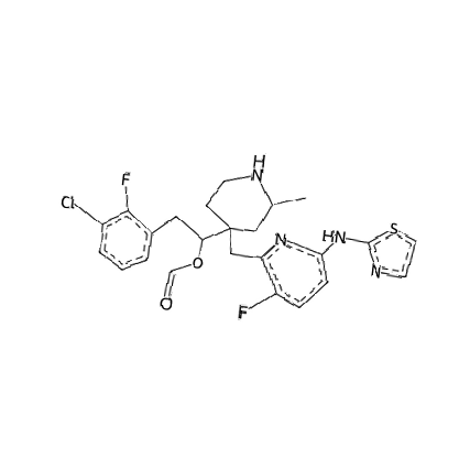 CC1CC(Cc2nc(Nc3nccs3)ccc2F)(C(Cc2cccc(Cl)c2F)OC=O)CCN1